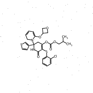 CC(C)COC(=O)OC1=C(Sc2ccccc2Cl)C(=O)NC(c2ccsc2)(N2CC=CC=C2OC2COC2)C1